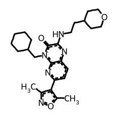 Cc1noc(C)c1-c1ccc2nc(NCCC3CCOCC3)c(=O)n(CC3CCCCC3)c2n1